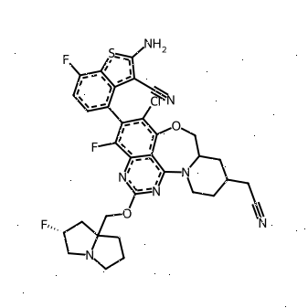 N#CCC1CCN2c3nc(OCC45CCCN4C[C@H](F)C5)nc4c(F)c(-c5ccc(F)c6sc(N)c(C#N)c56)c(Cl)c(c34)OCC2C1